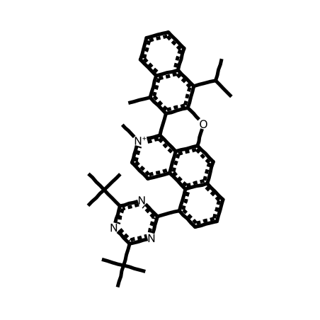 Cc1c2c(c(C(C)C)c3ccccc13)Oc1cc3cccc(-c4nc(C(C)(C)C)nc(C(C)(C)C)n4)c3c3cc[n+](C)c-2c13